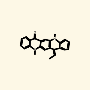 CC=C1c2ccccc2N(C)c2cc3c(=O)c4ccccc4n(C)c3cc21